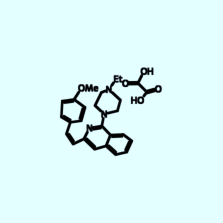 CCN1CCN(c2nc(/C=C\c3ccc(OC)cc3)cc3ccccc23)CC1.O=C(O)C(=O)O